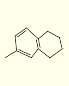 Cc1ccc2c(c1)C[CH]CC2